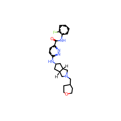 O=C(Nc1ccccc1F)c1ccc(N[C@H]2C[C@@H]3CN(CC4CCOCC4)C[C@@H]3C2)nn1